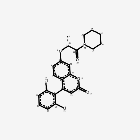 C[C@@H](Oc1ccc2c(-c3c(Cl)cccc3Cl)cc(=O)oc2c1)C(=O)N1CCCCC1